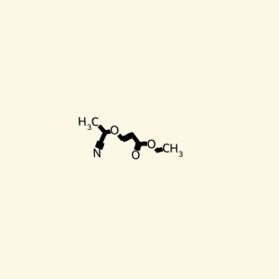 CCOC(=O)C=COC(C)C#N